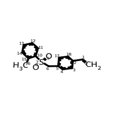 C=Cc1ccc(CS(=O)(=O)c2ccccc2C)cc1